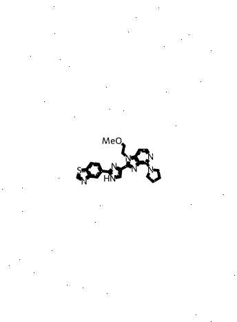 COCCn1c(-c2c[nH]c(-c3ccc4scnc4c3)n2)nc2c(N3CCCC3)nccc21